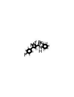 Cn1nc(-c2ccc(F)cc2)cc1C(=O)Nc1ccccc1Br